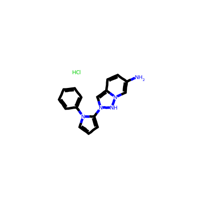 Cl.NC1=CN2NN(c3cccn3-c3ccccc3)C=C2C=C1